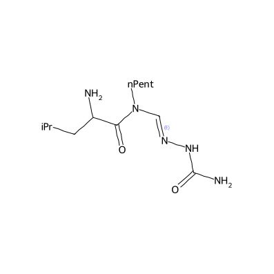 CCCCCN(/C=N/NC(N)=O)C(=O)C(N)CC(C)C